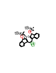 CC(C)(C)[Si](C)(C)OC1[C]2=C(CCC3=[C]([Zr+2]2)C(O[Si](C)(C)C(C)(C)C)c2ccccc23)c2ccccc21.[Cl-].[Cl-]